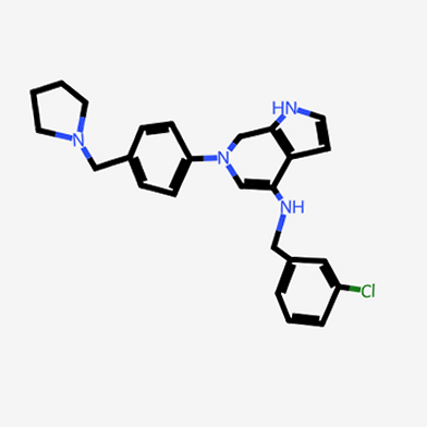 Clc1cccc(CNC2=CN(c3ccc(CN4CCCC4)cc3)Cc3[nH]ccc32)c1